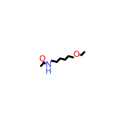 CCOCCCCCCNC(C)=O